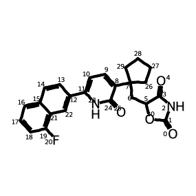 O=C1NC(=O)C(CC2(c3ccc(-c4ccc5cccc(F)c5c4)[nH]c3=O)CCCC2)O1